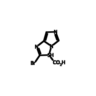 O=C(O)[SH]1C(Br)=Nc2cncn21